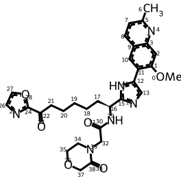 COc1cc2nc(C)ccc2cc1-c1cnc([C@H](CCCCCC(=O)c2ncco2)NC(=O)CN2CCOCC2=O)[nH]1